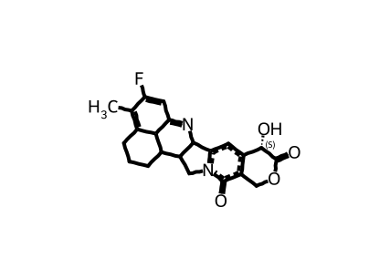 CC1=C2CCCC3C2C(=NC2c4cc5c(c(=O)n4CC23)COC(=O)[C@H]5O)C=C1F